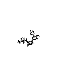 C=C1C=C(c2cc(NC(=O)c3cn(C(C)(C)C)cn3)c(F)cc2C)C=C(N2CCOCC2)N1/C=C\C